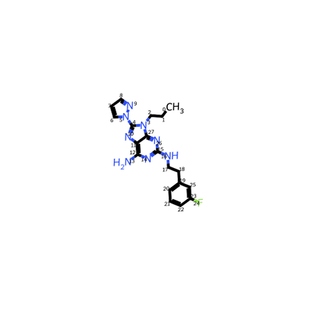 CCCn1c(-n2cccn2)nc2c(N)nc(NCCc3cccc(F)c3)nc21